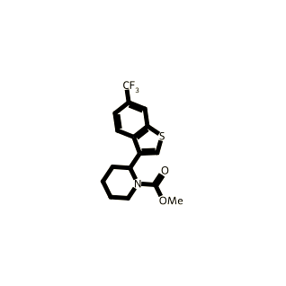 COC(=O)N1CCCCC1c1csc2cc(C(F)(F)F)ccc12